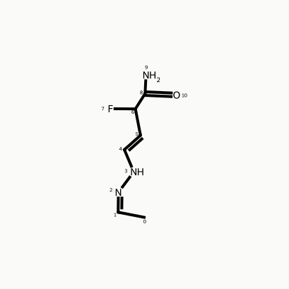 C/C=N\NC=CC(F)C(N)=O